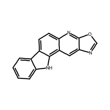 c1ccc2c(c1)[nH]c1c3cc4ncoc4nc3ccc21